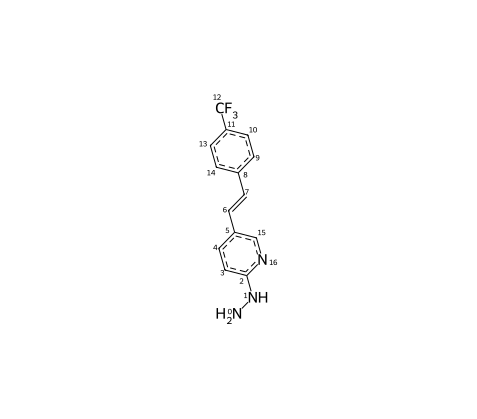 NNc1ccc(C=Cc2ccc(C(F)(F)F)cc2)cn1